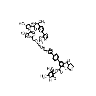 CCN(c1cc(-c2ccc(-c3cn(CCOCCOCC(=O)NC(C(=O)N4C[C@H](O)C[C@H]4C(=O)NC(C)c4ccc(-c5scnc5C)cc4)C(C)(C)C)nn3)cc2)cc(C(=O)NCc2c(C)cc(C)[nH]c2=O)c1C)C1CCOCC1